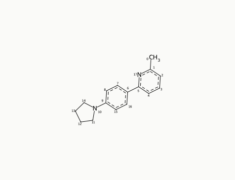 Cc1cccc(-c2ccc(N3CCCC3)cc2)n1